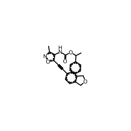 Cc1noc(C#Cc2ccc3c(c2)COC3)c1NC(=O)OC(C)c1ccccc1